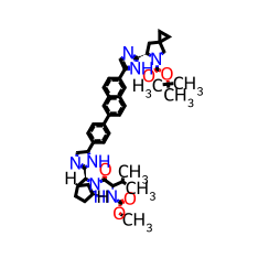 COC(=O)N[C@H](C(=O)N1[C@@H]2CC[C@@H](C2)[C@H]1C1=NCC(c2ccc(-c3ccc4cc(-c5cnc([C@@H]6CC7(CC7)CN6C(=O)OC(C)(C)C)[nH]5)ccc4c3)cc2)N1)C(C)C